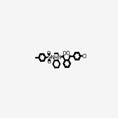 CCN(C(=O)c1ccccc1C(=O)c1ccc(Cl)cc1)[C@@H]1CCCC[C@@H]1NS(=O)(=O)c1ccc(C)cc1